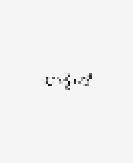 CC12CCC(COC(=O)C(=O)OCC3CCC4(C)SC4C3)CC1S2